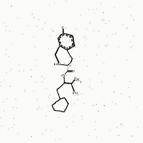 CC(C)C(CC1CCCCC1)NC(=O)[C@H]1Cc2ccc(F)cc2CN1